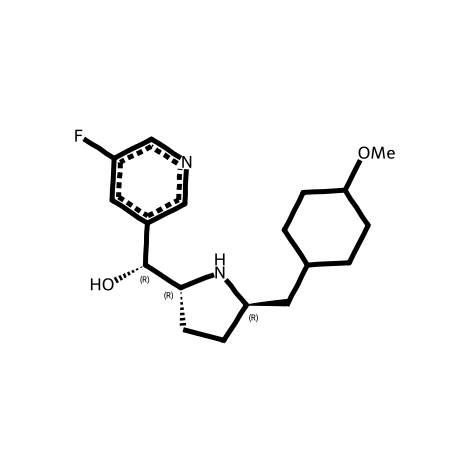 COC1CCC(C[C@H]2CC[C@H]([C@H](O)c3cncc(F)c3)N2)CC1